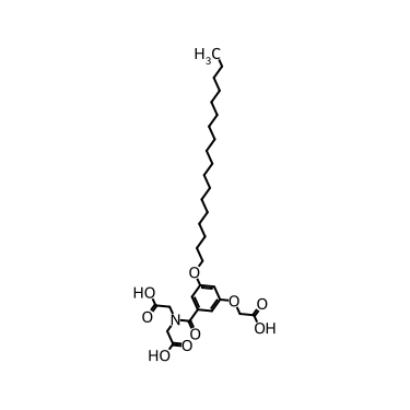 CCCCCCCCCCCCCCCCCCOc1cc(OCC(=O)O)cc(C(=O)N(CC(=O)O)CC(=O)O)c1